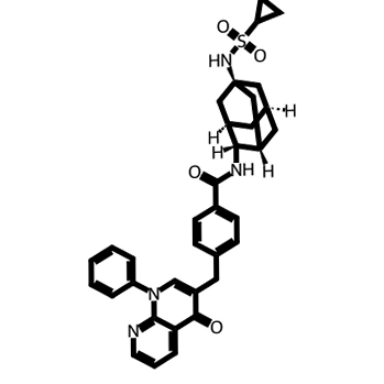 O=C(N[C@@H]1[C@@H]2C[C@@H]3C[C@H]1C[C@@](NS(=O)(=O)C1CC1)(C3)C2)c1ccc(Cc2cn(-c3ccccc3)c3ncccc3c2=O)cc1